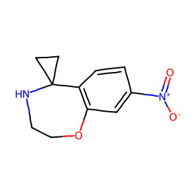 O=[N+]([O-])c1ccc2c(c1)OCCNC21CC1